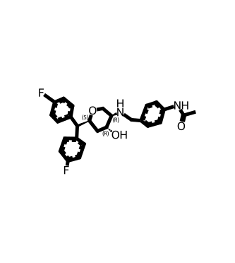 CC(=O)Nc1ccc(CN[C@@H]2CO[C@H](C(c3ccc(F)cc3)c3ccc(F)cc3)C[C@H]2O)cc1